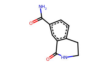 NC(=O)c1ccc2c(c1)C(=O)NCC2